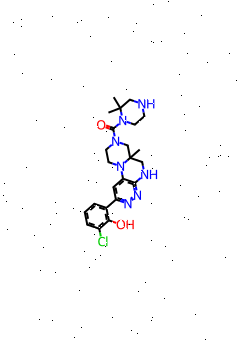 CC1(C)CNCCN1C(=O)N1CCN2c3cc(-c4cccc(Cl)c4O)nnc3NCC2(C)C1